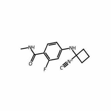 [C-]#[N+]C1(Nc2ccc(C(=O)NC)c(F)c2)CCC1